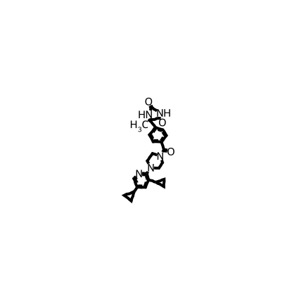 CC1(c2ccc(C(=O)N3CCN(c4ncc(C5CC5)cc4C4CC4)CC3)cc2)NC(=O)NC1=O